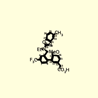 CCN(Cc1cc(C(F)(F)F)ccc1-c1cc(CC(=O)O)ccc1OC)c1nc2cc(C)ccc2o1